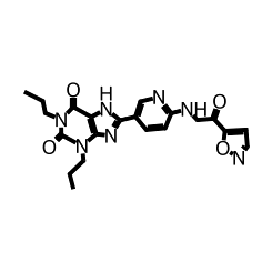 CCCn1c(=O)c2[nH]c(-c3ccc(NCC(=O)c4ccno4)nc3)nc2n(CCC)c1=O